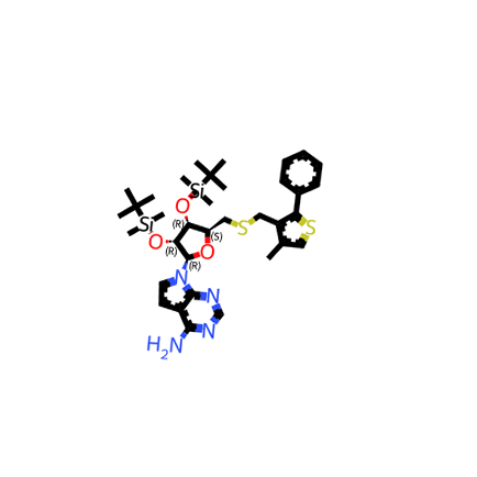 Cc1csc(-c2ccccc2)c1CSC[C@H]1O[C@@H](n2ccc3c(N)ncnc32)[C@H](O[Si](C)(C)C(C)(C)C)[C@@H]1O[Si](C)(C)C(C)(C)C